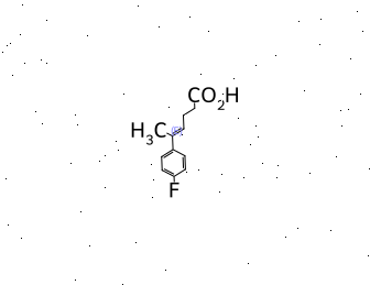 C/C(=C\CCC(=O)O)c1ccc(F)cc1